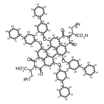 CC(C)CC(C(=O)O)N1C(=O)c2cc(Oc3ccc(-c4ccccc4)cc3)c3c4c(Oc5ccc(-c6ccccc6)cc5)cc5c6c(cc(Oc7ccc(-c8ccccc8)cc7)c(c7c(Oc8ccc(-c9ccccc9)cc8)cc(c2c37)C1=O)c64)C(=O)N(C(CC(C)C)C(=O)O)C5=O